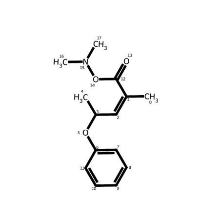 CC(=CC(C)Oc1ccccc1)C(=O)ON(C)C